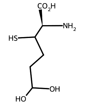 N[C@H](C(=O)O)C(S)CCC(O)O